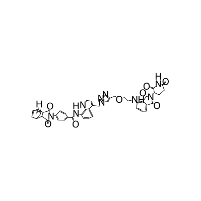 O=C1CCC(N2C(=O)c3cccc(NCCOCc4cn(Cc5ccnc6c(NC(=O)c7ccc(N8C(=O)C9C%10C=C[C@@H](C%10)C9C8=O)cc7)cccc56)nn4)c3C2=O)C(=O)N1